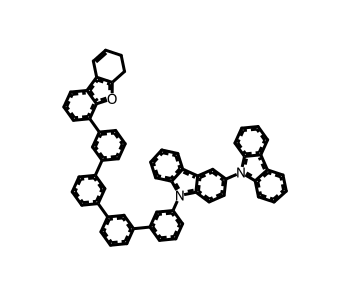 C1=Cc2c(oc3c(-c4cccc(-c5cccc(-c6cccc(-c7cccc(-n8c9ccccc9c9cc(-n%10c%11ccccc%11c%11ccccc%11%10)ccc98)c7)c6)c5)c4)cccc23)CC1